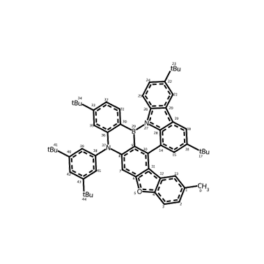 Cc1ccc2oc3cc4c5c(c3c2c1)-c1cc(C(C)(C)C)cc2c3cc(C(C)(C)C)ccc3n(c12)B5c1ccc(C(C)(C)C)cc1N4c1cc(C(C)(C)C)cc(C(C)(C)C)c1